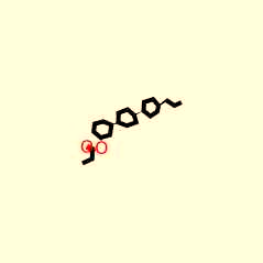 CCC[C@H]1CC[C@H](C2CCC([C@H]3CCC[C@@H](OC(=O)CC)C3)CC2)CC1